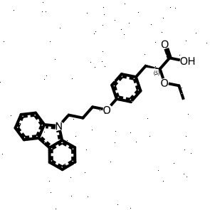 CCO[C@@H](Cc1ccc(OCCCn2c3ccccc3c3ccccc32)cc1)C(=O)O